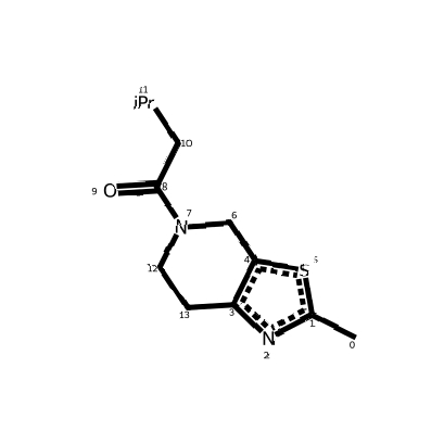 Cc1nc2c(s1)CN(C(=O)CC(C)C)CC2